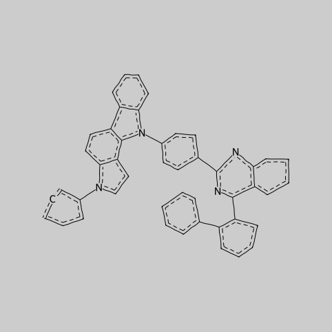 c1ccc(-c2ccccc2-c2nc(-c3ccc(-n4c5ccccc5c5ccc6c(ccn6-c6ccccc6)c54)cc3)nc3ccccc23)cc1